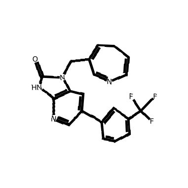 O=c1[nH]c2ncc(-c3cccc(C(F)(F)F)c3)cc2n1CC1=CCC=CN=C1